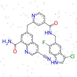 N#Cc1cnc2c(C(N)=O)cc(Cc3cc(C(=O)NCc4cc5c(Cl)c[nH]c5cc4F)ccn3)cc2c1